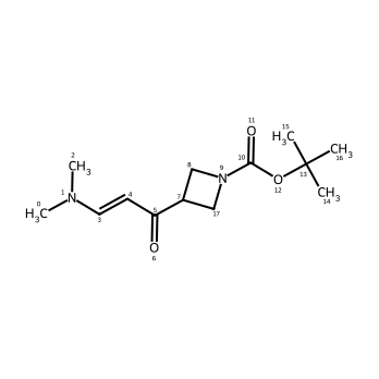 CN(C)C=CC(=O)C1CN(C(=O)OC(C)(C)C)C1